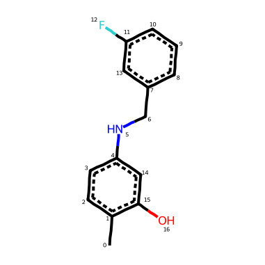 Cc1ccc(NCc2cccc(F)c2)cc1O